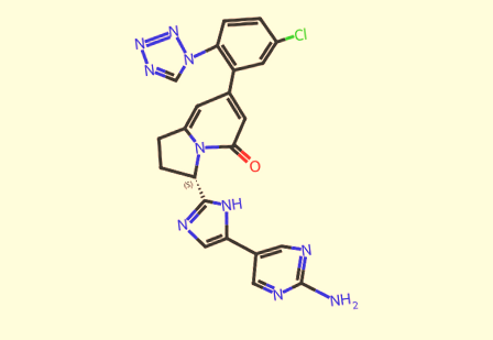 Nc1ncc(-c2cnc([C@@H]3CCc4cc(-c5cc(Cl)ccc5-n5cnnn5)cc(=O)n43)[nH]2)cn1